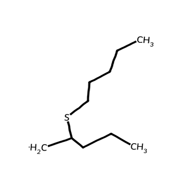 [CH2]C(CCC)SCCCCC